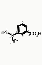 CCCN(CCC)c1cccc(C(=O)O)c1